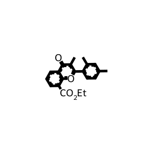 CCOC(=O)c1cccc2c(=O)c(C)c(-c3ccc(C)cc3C)oc12